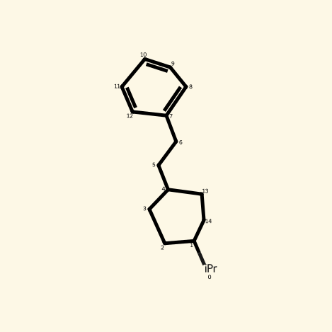 CC(C)C1CCC(CCc2ccccc2)CC1